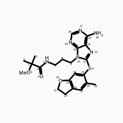 COC(C)(C)C(=O)NCCCn1c(Sc2cc3c(cc2C)CCO3)nc2c(N)ncnc21